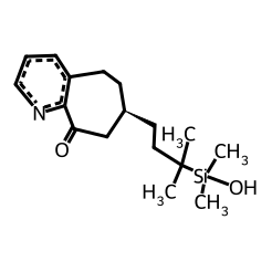 CC(C)(CC[C@@H]1CCc2cccnc2C(=O)C1)[Si](C)(C)O